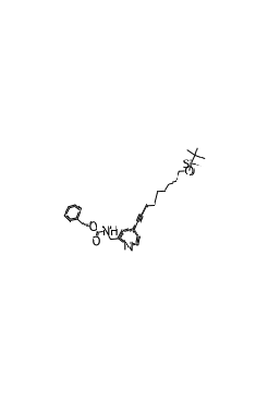 CC(C)(C)[Si](C)(C)OCCCCCCCC#Cc1ccnc(CNC(=O)OCc2ccccc2)c1